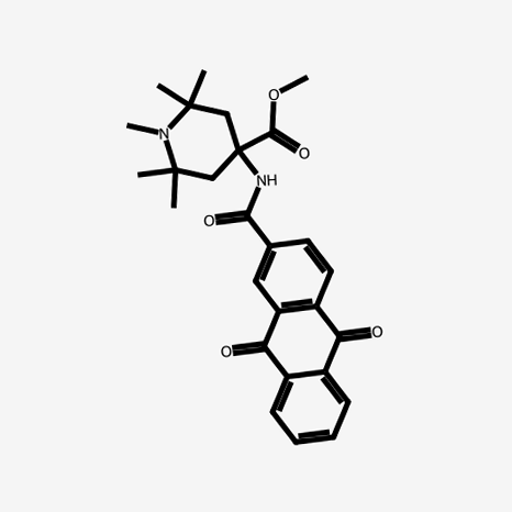 COC(=O)C1(NC(=O)c2ccc3c(c2)C(=O)c2ccccc2C3=O)CC(C)(C)N(C)C(C)(C)C1